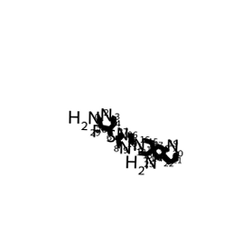 Nc1nccc(Sc2cnc(N3CCC4(CC3)Cc3ncccc3[C@H]4N)cn2)c1F